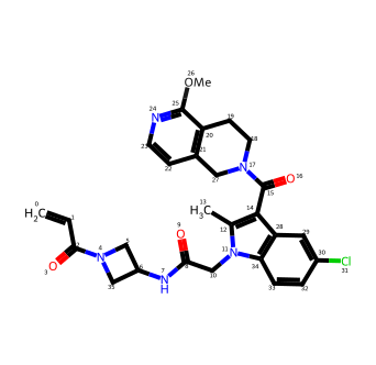 C=CC(=O)N1CC(NC(=O)Cn2c(C)c(C(=O)N3CCc4c(ccnc4OC)C3)c3cc(Cl)ccc32)C1